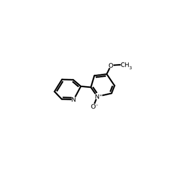 COc1cc[n+]([O-])c(-c2ccccn2)c1